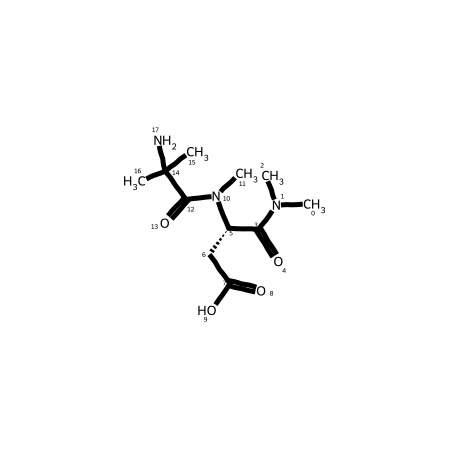 CN(C)C(=O)[C@H](CC(=O)O)N(C)C(=O)C(C)(C)N